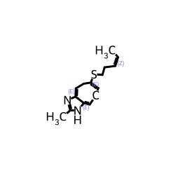 C/C=C\CCS/C1=C/C/C=c2/[nH]c(C)n/c2=C/C1